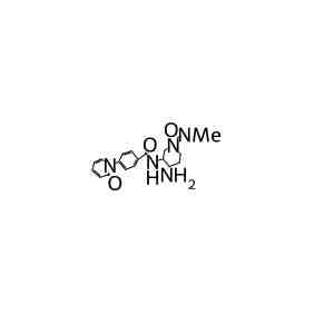 CNC(=O)N1CCC(N)C(NC(=O)c2ccc(-n3ccccc3=O)cc2)C1